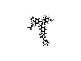 CS(=O)(=O)N(CCN1CCOCC1)Cc1ccc(C(=O)O[C@@H](Cc2c(Cl)c[n+]([O-])cc2Cl)c2ccc(OC(F)F)c(OCC3CC3)c2)cc1